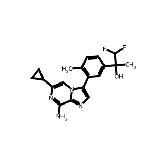 Cc1ccc(C(C)(O)C(F)F)cc1-c1cnc2c(N)nc(C3[CH]C3)cn12